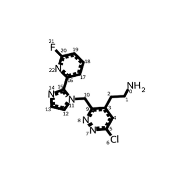 NCCc1cc(Cl)nnc1Cn1ccnc1-c1cccc(F)n1